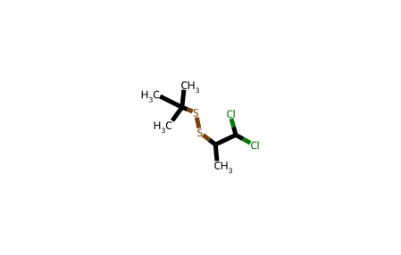 CC(SSC(C)(C)C)C(Cl)Cl